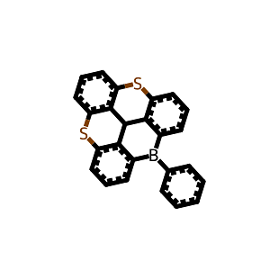 c1ccc(B2c3cccc4c3C3c5c(cccc5Sc5cccc2c53)S4)cc1